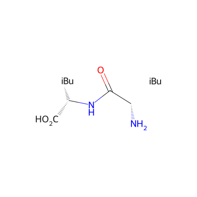 CC[C@H](C)[C@H](N)C(=O)N[C@H](C(=O)O)[C@@H](C)CC